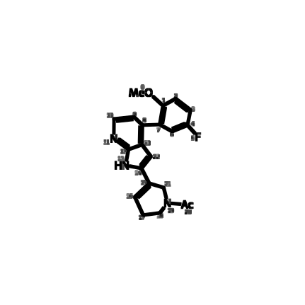 COc1ccc(F)cc1-c1ccnc2[nH]c(C3=CCCN(C(C)=O)C3)cc12